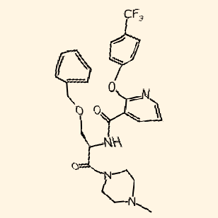 CN1CCN(C(=O)[C@@H](COCc2ccccc2)NC(=O)c2cccnc2Oc2ccc(C(F)(F)F)cc2)CC1